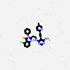 Cc1ccc(C#Cc2c(N)ncnc2NCCc2nc3cccc(Cl)c3c(=O)n2-c2ccccc2)nc1